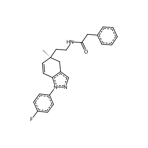 C[C@@]1(CCNC(=O)Cc2ccccc2)C=Cc2c(cnn2-c2ccc(F)cc2)C1